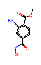 COC(=O)c1ccc(C(=O)NO)cc1N